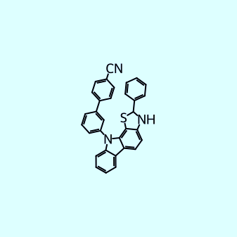 N#Cc1ccc(-c2cccc(-n3c4ccccc4c4ccc5c(c43)SC(c3ccccc3)N5)c2)cc1